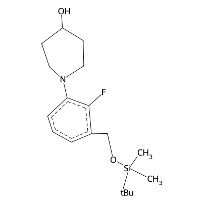 CC(C)(C)[Si](C)(C)OCc1cccc(N2CCC(O)CC2)c1F